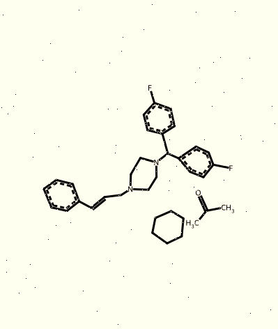 C1CCCCC1.CC(C)=O.Fc1ccc(C(c2ccc(F)cc2)N2CCN(C/C=C/c3ccccc3)CC2)cc1